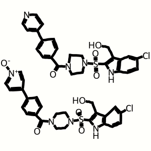 O=C(c1ccc(-c2cc[n+]([O-])cc2)cc1)N1CCN(S(=O)(=O)c2[nH]c3ccc(Cl)cc3c2CO)CC1.O=C(c1ccc(-c2ccncc2)cc1)N1CCN(S(=O)(=O)c2[nH]c3ccc(Cl)cc3c2CO)CC1